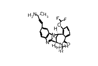 [2H]C([2H])([2H])N1C(=O)c2cccc(OC(F)F)c2[C@H]2C[C@@H]1c1nc3ccc(C#C[C@@H](C)N)cc3n12